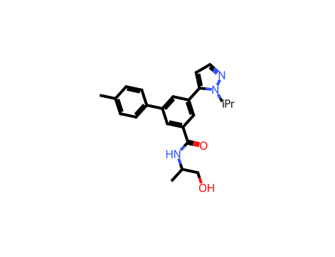 Cc1ccc(-c2cc(C(=O)NC(C)CO)cc(-c3ccnn3C(C)C)c2)cc1